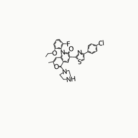 CCOc1cccc(F)c1-n1c(C=C(C)C)c(C(=O)N2CCNCC2)cc(-c2nc(-c3ccc(Cl)cc3)cs2)c1=O